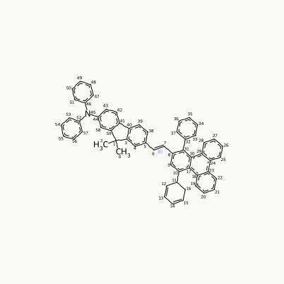 CC1(C)c2cc(/C=C/c3cc(C4C=CC=CC4)c4c5ccccc5c5ccccc5c4c3-c3ccccc3)ccc2-c2ccc(N(c3ccccc3)c3ccccc3)cc21